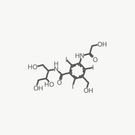 O=C(CO)Nc1c(I)c(CO)c(I)c(C(=O)NC(CO)C(O)CO)c1I